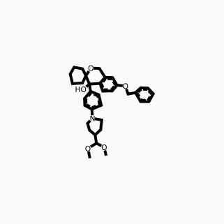 COC(OC)C1CCN(c2ccc(C3(O)c4ccc(OCc5ccccc5)cc4COC34CCCCC4)cc2)CC1